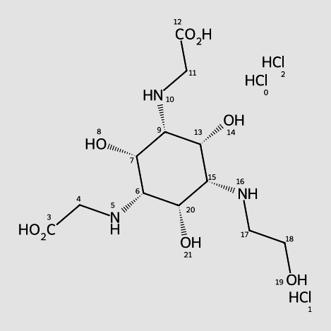 Cl.Cl.Cl.O=C(O)CN[C@@H]1[C@H](O)[C@H](NCC(=O)O)[C@H](O)[C@H](NCCO)[C@@H]1O